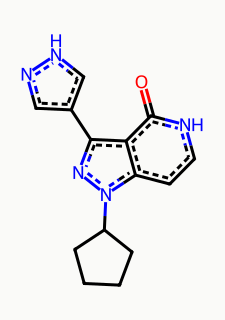 O=c1[nH]ccc2c1c(-c1cn[nH]c1)nn2C1CCCC1